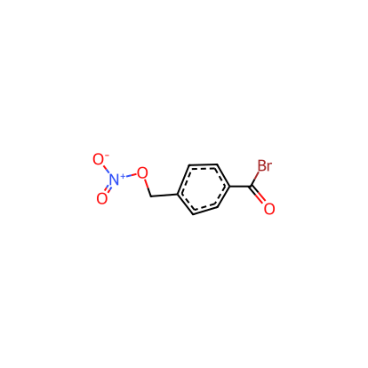 O=C(Br)c1ccc(CO[N+](=O)[O-])cc1